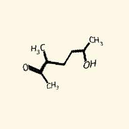 CC(=O)C(C)CCC(C)O